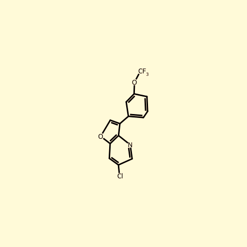 FC(F)(F)Oc1cccc(-c2coc3cc(Cl)cnc23)c1